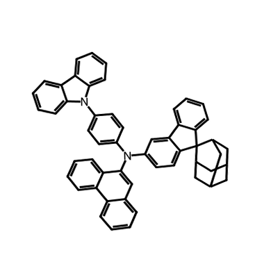 c1ccc2c(c1)-c1cc(N(c3ccc(-n4c5ccccc5c5ccccc54)cc3)c3cc4ccccc4c4ccccc34)ccc1C21C2CC3CC(C2)CC1C3